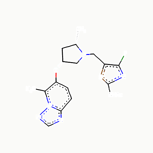 CC(=O)Nc1nc(F)c(CN2C[C@H](Oc3ccc4ncnn4c3C)C[C@@H]2C)s1